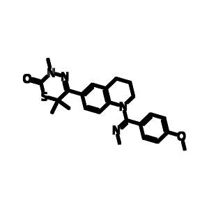 CN=C(c1ccc(OC)cc1)N1CCCc2cc(C3=NN(C)C(=O)SC3(C)C)ccc21